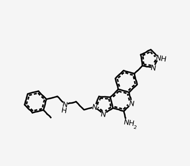 Cc1ccccc1CNCCn1cc2c(n1)c(N)nc1cc(-c3cc[nH]n3)ccc12